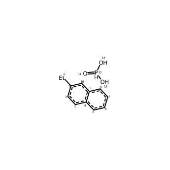 CCc1ccc2ccccc2c1.O=[PH](O)O